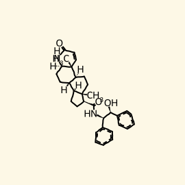 C[C@]12C=CC(=O)N[C@@H]1CC[C@@H]1[C@@H]2CC[C@]2(C)[C@@H](C(=O)N[C@H](c3ccccc3)[C@@H](O)c3ccccc3)CC[C@@H]12